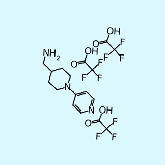 NCC1CCN(c2ccncc2)CC1.O=C(O)C(F)(F)F.O=C(O)C(F)(F)F.O=C(O)C(F)(F)F